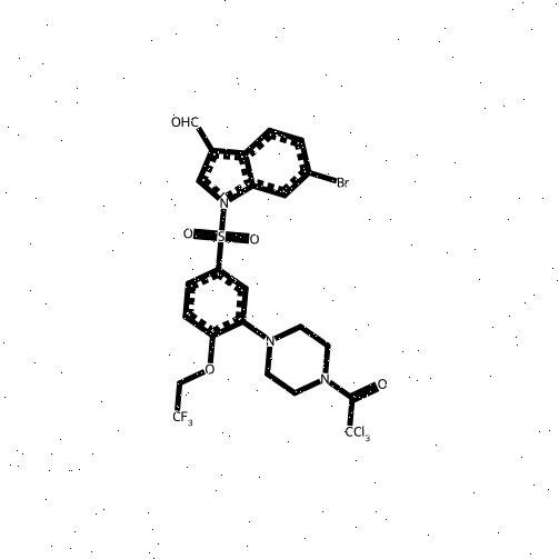 O=Cc1cn(S(=O)(=O)c2ccc(OCC(F)(F)F)c(N3CCN(C(=O)C(Cl)(Cl)Cl)CC3)c2)c2cc(Br)ccc12